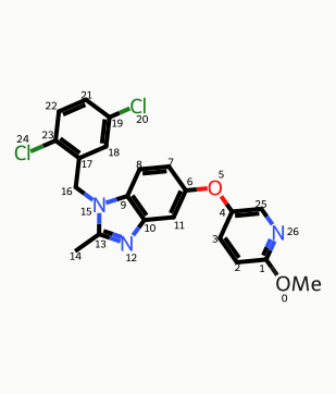 COc1ccc(Oc2ccc3c(c2)nc(C)n3Cc2cc(Cl)ccc2Cl)cn1